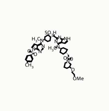 COCCOC1CCCN(S(=O)(=O)C[C@H]2CC[C@H](N(C)c3nc(C([C@H]4CC[C@H](N(C)c5ncnc6c5ccn6S(=O)(=O)c5ccc(C)cc5)CC4)S(=O)(=O)O)nc4[nH]ccc34)CC2)C1